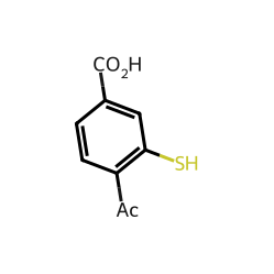 CC(=O)c1ccc(C(=O)O)cc1S